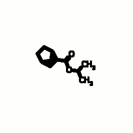 CC(C)OC(=O)C1=CC2CCC1C2